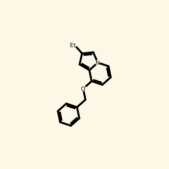 CCc1cc2c(OCc3ccccc3)cccn2c1